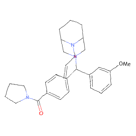 C=CCN1C2CCCC1CN(C(c1ccc(C(=O)N3CCCC3)cc1)c1cccc(OC)c1)C2